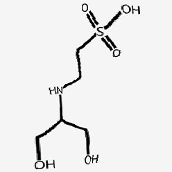 O=S(=O)(O)CCNC(CO)CO